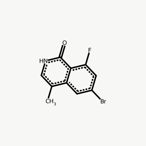 Cc1c[nH]c(=O)c2c(F)cc(Br)cc12